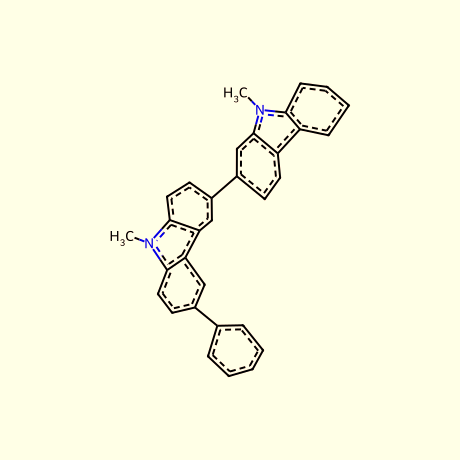 Cn1c2ccc(-c3ccccc3)cc2c2cc(-c3ccc4c5ccccc5n(C)c4c3)ccc21